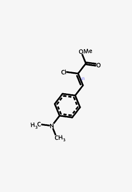 COC(=O)/C(Cl)=C/c1ccc(N(C)C)cc1